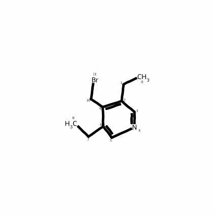 CCc1cncc(CC)c1CBr